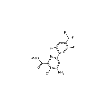 COC(=O)c1nc(-c2cc(F)c(C(F)F)cc2F)cc(N)c1Cl